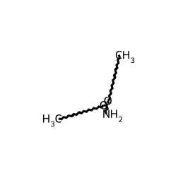 CCCCCC=CCC=CCCCCCCCCOC[C@H](CCN)OCCCCCCCCC=CCC=CCCCCC